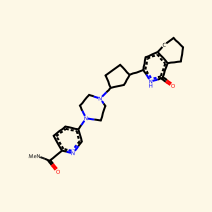 CNC(=O)c1ccc(N2CCN(C3CCC(c4cc5c(c(=O)[nH]4)CCCC5)C3)CC2)cn1